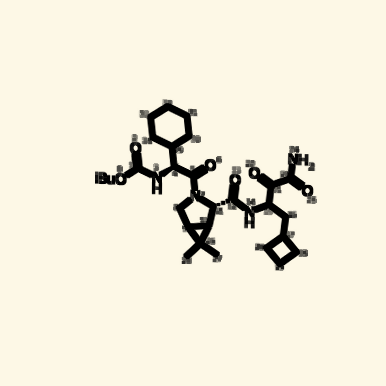 CC(C)COC(=O)N[C@H](C(=O)N1CC2C([C@H]1C(=O)NC(CC1CCC1)C(=O)C(N)=O)C2(C)C)C1CCCCC1